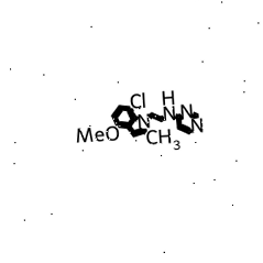 COc1ccc(Cl)c2c1cc(C)n2CCNc1ccncn1